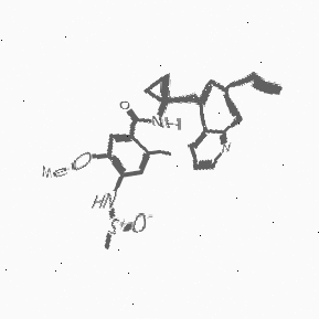 C=Cc1cc(C2(NC(=O)c3cc(OC)c(N[S+](C)[O-])cc3C)CC2)c2cccnc2c1